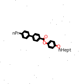 CCCCCCCOc1ccc(OC(=O)c2ccc(-c3ccc(CCC)cc3)cc2)cc1